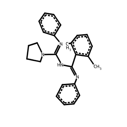 Cc1cccc(C)c1/C(=N/c1ccccc1)N/C(=N/c1ccccc1)N1CCCC1